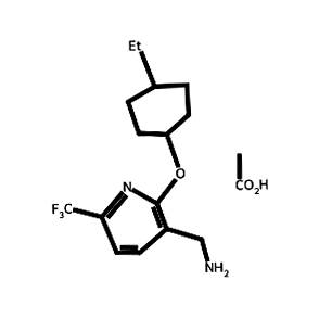 CC(=O)O.CCC1CCC(Oc2nc(C(F)(F)F)ccc2CN)CC1